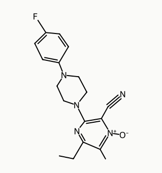 CCc1nc(N2CCN(c3ccc(F)cc3)CC2)c(C#N)[n+]([O-])c1C